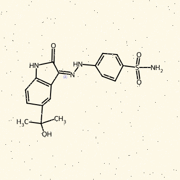 CC(C)(O)c1ccc2c(c1)/C(=N/Nc1ccc(S(N)(=O)=O)cc1)C(=O)N2